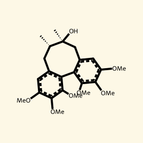 COc1cc2c(c(OC)c1OC)-c1c(cc(OC)c(OC)c1OC)C[C@](C)(O)[C@@H](C)C2